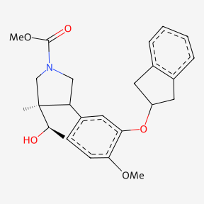 COC(=O)N1CC(c2ccc(OC)c(OC3Cc4ccccc4C3)c2)[C@@](C)([C@@H](C)O)C1